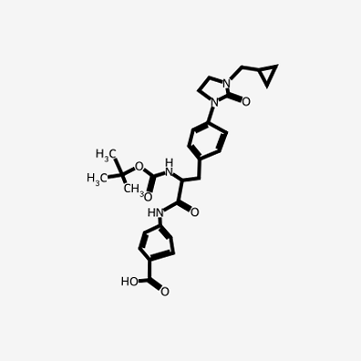 CC(C)(C)OC(=O)NC(Cc1ccc(N2CCN(CC3CC3)C2=O)cc1)C(=O)Nc1ccc(C(=O)O)cc1